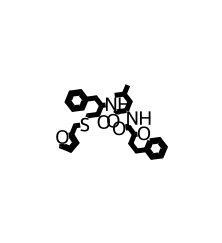 CC(C)CC(NC(=O)C1CCc2ccccc2O1)C(=O)NC(Cc1ccccc1)C(=O)CSCc1ccco1